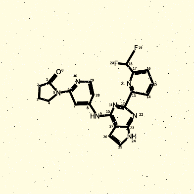 O=C1CCCN1c1cc(Nc2nc(-c3cccc(C(F)F)n3)nc3[nH]ccc23)ccn1